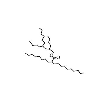 CCCCCCCCCCC(CCCCCCCC)C(=O)OCC(CCCC)CC(CCCC)CCCCCC